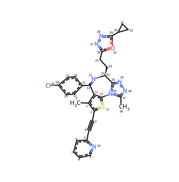 Cc1c(C#Cc2ccccn2)sc2c1C(c1ccc(Cl)cc1)=N[C@@H](CCc1nnc(C3CC3)o1)c1nnc(C)n1-2